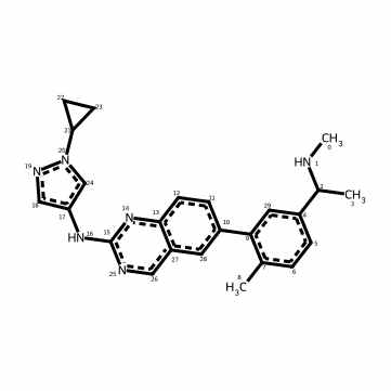 CNC(C)c1ccc(C)c(-c2ccc3nc(Nc4cnn(C5CC5)c4)ncc3c2)c1